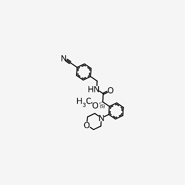 CO[C@H](C(=O)NCc1ccc(C#N)cc1)c1ccccc1N1CCOCC1